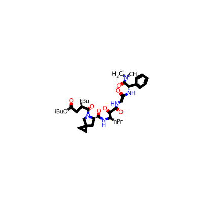 CCCC(NC(=O)[C@@H]1CC2(CC2)CN1C(=O)[C@@H](CC(=O)OCC(C)C)C(C)(C)C)C(=O)C(=O)NCC(=O)N[C@H](C(=O)N(C)C)c1ccccc1